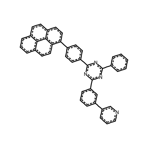 c1ccc(-c2nc(-c3ccc(-c4ccc5ccc6cccc7ccc4c5c67)cc3)nc(-c3cccc(-c4cccnc4)c3)n2)cc1